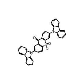 O=C1c2cc(-n3c4ccccc4c4ccccc43)ccc2S(=O)(=O)c2cc(-n3c4ccccc4c4ccccc43)ccc21